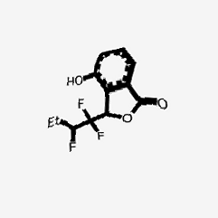 CCC(F)C(F)(F)C1OC(=O)c2cccc(O)c21